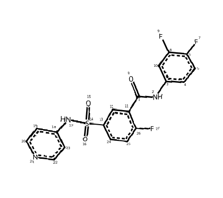 O=C(Nc1ccc(F)c(F)c1)c1cc(S(=O)(=O)Nc2ccncc2)ccc1F